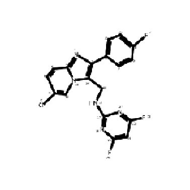 Fc1ccc(-c2nc3ccc(Cl)cn3c2CNc2nc(F)cc(F)n2)cc1